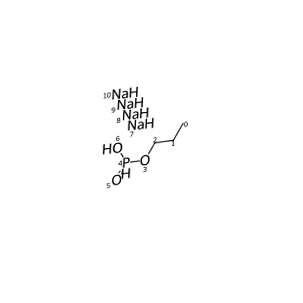 CCCO[PH](=O)O.[NaH].[NaH].[NaH].[NaH]